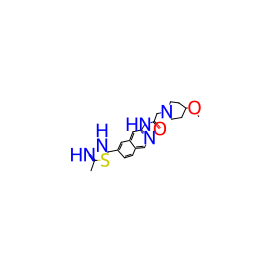 COC1CCN(CC(=O)Nc2cc3cc(C(=N)SC(C)=N)ccc3cn2)CC1